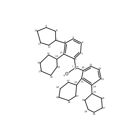 [O-][S+](c1cccc(C2CCCCC2)c1C1CCCCC1)c1cccc(C2CCCCC2)c1C1CCCCC1